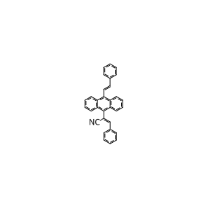 N#CC(=Cc1ccccc1)c1c2ccccc2c(C=Cc2ccccc2)c2ccccc12